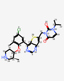 Cc1cc(Cl)cc(-c2ncnc3cc(Cn4c(=O)ccn(C(C)C)c4=O)sc23)c1O[C@@H]1CCNC[C@@H]1C